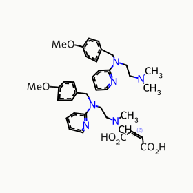 COc1ccc(CN(CCN(C)C)c2ccccn2)cc1.COc1ccc(CN(CCN(C)C)c2ccccn2)cc1.O=C(O)/C=C\C(=O)O